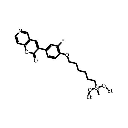 CCO[Si](C)(CCCCCCOc1ccc(-c2cc3cnccc3oc2=O)cc1F)OCC